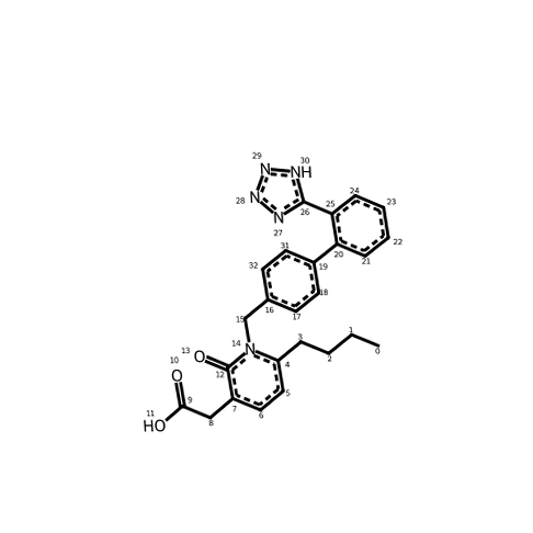 CCCCc1ccc(CC(=O)O)c(=O)n1Cc1ccc(-c2ccccc2-c2nnn[nH]2)cc1